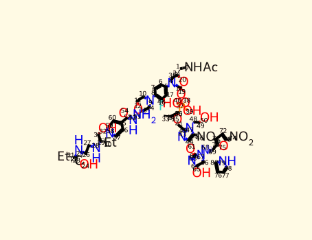 CC(=O)NC[C@H]1CN(c2ccc(N3CCOCC3)c(F)c2)C(=O)O1.CC[C@@H](CO)NCCN[C@@H](CC)CO.C[C@@H]1O[C@@H]1P(=O)(O)O.Cc1ncc([N+](=O)[O-])n1CCO.NNC(=O)c1ccncc1.O=C1N=C(O)CN1/N=C/c1ccc([N+](=O)[O-])o1.c1cc[nH]c1